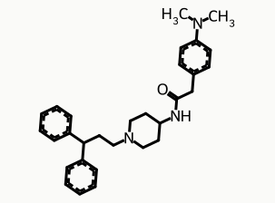 CN(C)c1ccc(CC(=O)NC2CCN(CCC(c3ccccc3)c3ccccc3)CC2)cc1